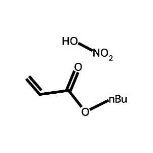 C=CC(=O)OCCCC.O=[N+]([O-])O